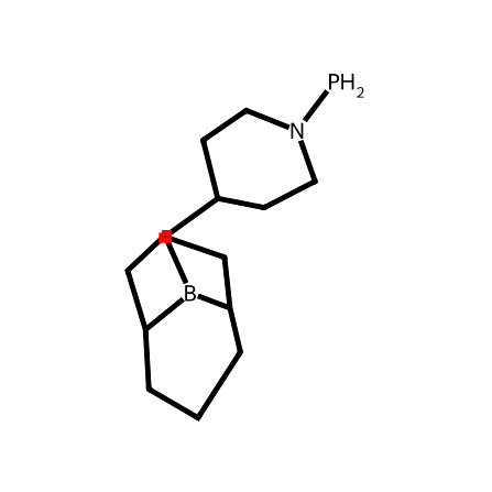 PN1CCC(CB2C3CCCC2CCC3)CC1